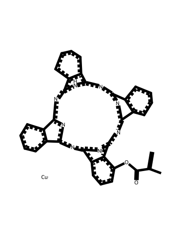 C=C(C)C(=O)Oc1cccc2c3nc4nc(nc5[nH]c(nc6nc(nc([nH]3)c12)-c1ccccc1-6)c1ccccc51)-c1ccccc1-4.[Cu]